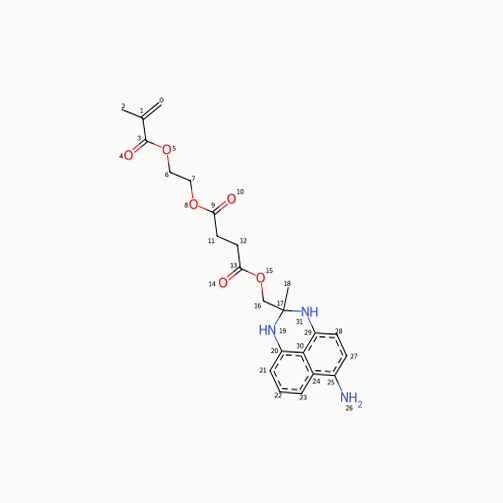 C=C(C)C(=O)OCCOC(=O)CCC(=O)OCC1(C)Nc2cccc3c(N)ccc(c23)N1